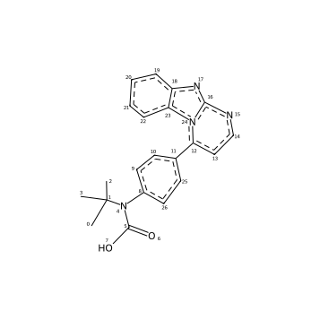 CC(C)(C)N(C(=O)O)c1ccc(-c2ccnc3nc4ccccc4n23)cc1